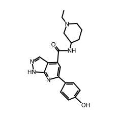 CCN1CCCC(NC(=O)c2cc(-c3ccc(O)cc3)nc3[nH]ncc23)C1